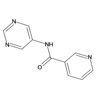 O=C(Nc1cncnc1)c1cccnc1